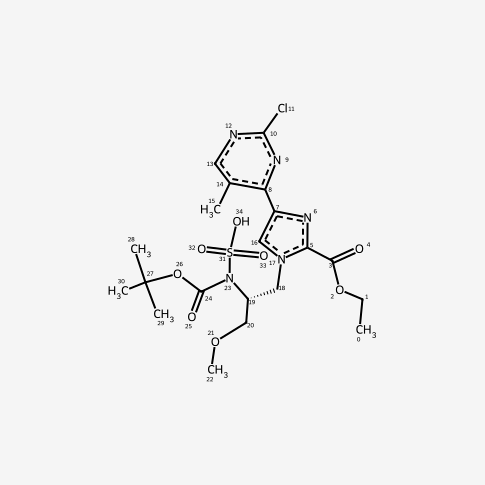 CCOC(=O)c1nc(-c2nc(Cl)ncc2C)cn1C[C@H](COC)N(C(=O)OC(C)(C)C)S(=O)(=O)O